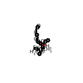 Cc1c(N(C(=O)c2cc(-c3cc4c(cc3C(=O)N3Cc5ccccc5C[C@H]3C)CN(C(=O)Cc3ccc(OCCN5CCOCC5)cc3)CC4)n(C)c2C)c2ccccc2)cnn1C(F)F